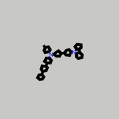 Cc1ccc(N(c2ccc(-c3ccc(-c4ccccc4)cc3)cc2)c2ccc(-c3ccc(-n4c5ccccc5c5ccccc54)cc3)cc2)cc1